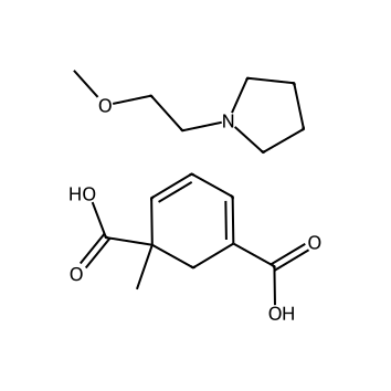 CC1(C(=O)O)C=CC=C(C(=O)O)C1.COCCN1CCCC1